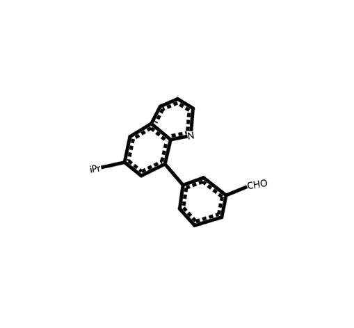 CC(C)c1cc(-c2cccc(C=O)c2)c2ncccc2c1